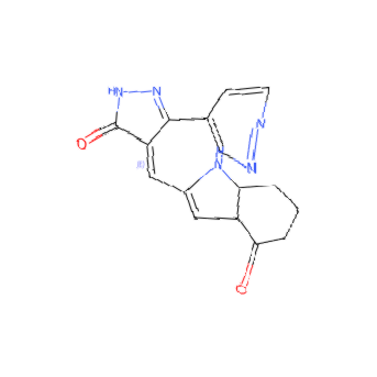 O=C1NN=C(c2ccnnc2)/C1=C\C1=CC2C(=O)CCCC2N1